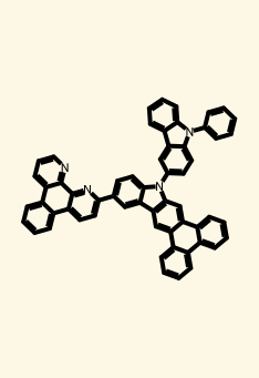 c1ccc(-n2c3ccccc3c3cc(-n4c5ccc(-c6ccc7c8ccccc8c8cccnc8c7n6)cc5c5cc6c7ccccc7c7ccccc7c6cc54)ccc32)cc1